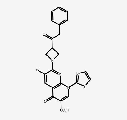 O=C(O)c1cn(-c2nccs2)c2nc(N3CC(C(=O)Cc4ccccc4)C3)c(F)cc2c1=O